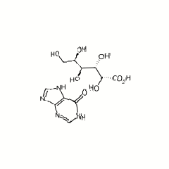 O=C(O)[C@H](O)[C@@H](O)[C@@H](O)[C@H](O)CO.O=c1[nH]cnc2nc[nH]c12